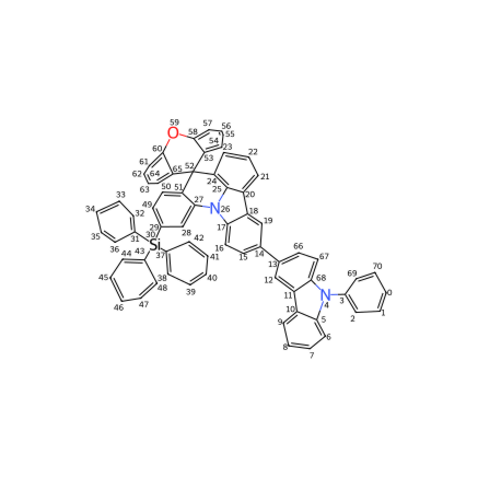 c1ccc(-n2c3ccccc3c3cc(-c4ccc5c(c4)c4cccc6c4n5-c4cc([Si](c5ccccc5)(c5ccccc5)c5ccccc5)ccc4C64c5ccccc5Oc5ccccc54)ccc32)cc1